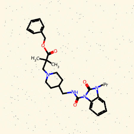 CC(C)n1c(=O)n(C(=O)NCC2CCN(CC(C)(C)C(=O)OCc3ccccc3)CC2)c2ccccc21